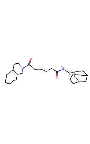 O=C(CCCCC(=O)N1CCC2CCCCC2C1)NC1C2CC3CC(C2)CC1C3